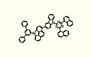 c1ccc(-c2cc(-c3ccccc3)cc(-n3c4cccc5ccc6c(-c7ccc8c(c7)c7ccccc7n8-c7nc(-c8cccc9ccccc89)nc(-c8cccc9ccccc89)n7)ccc3c6c54)c2)cc1